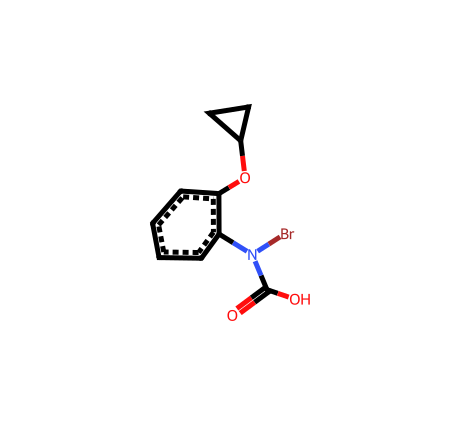 O=C(O)N(Br)c1ccccc1OC1CC1